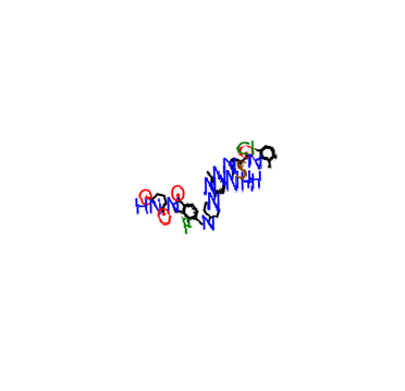 Cc1nc(Nc2ncc(C(=O)Nc3c(C)cccc3Cl)s2)cc(N2CCC(N(C)Cc3ccc4c(c3F)CN(C3CCC(=O)NC3=O)C4=O)CC2)n1